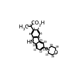 CC(C(=O)O)c1ccc2c(c1)[nH]c1ccc(N3CCOCC3)cc12